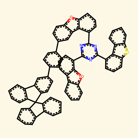 c1ccc2c(c1)-c1ccccc1C21c2ccccc2-c2cc(-c3ccc(-c4ccc5oc6cccc(-c7nc(-c8cccc9c8oc8ccccc89)nc(-c8cccc9sc%10ccccc%10c89)n7)c6c5c4)cc3)ccc21